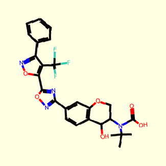 CC(C)(C)N(C(=O)O)C1COc2cc(-c3noc(-c4onc(-c5ccccc5)c4C(F)(F)F)n3)ccc2C1O